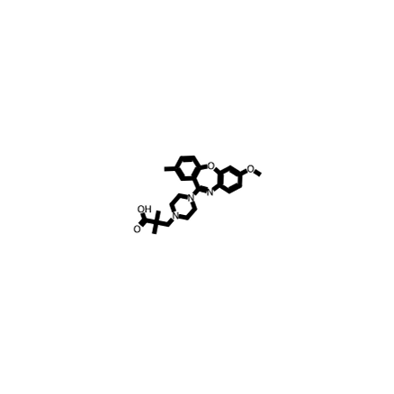 COc1ccc2c(c1)Oc1ccc(C)cc1C(N1CCN(CC(C)(C)C(=O)O)CC1)=N2